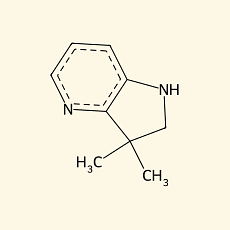 CC1(C)CNc2cccnc21